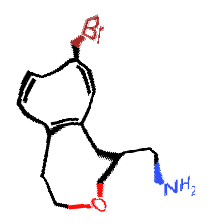 NCC1OCCc2ccc(Br)cc21